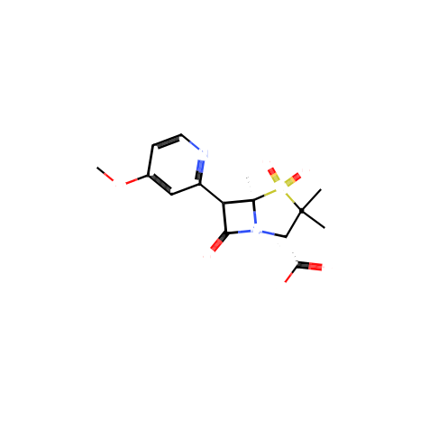 COc1ccnc(C2C(=O)N3[C@@H](C(=O)O)C(C)(C)S(=O)(=O)[C@H]23)c1